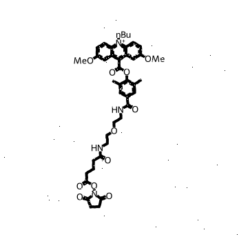 CCCC[n+]1c2ccc(OC)cc2c(C(=O)Oc2c(C)cc(C(=O)NCCOCCNC(=O)CCCC(=O)ON3C(=O)CCC3=O)cc2C)c2cc(OC)ccc21